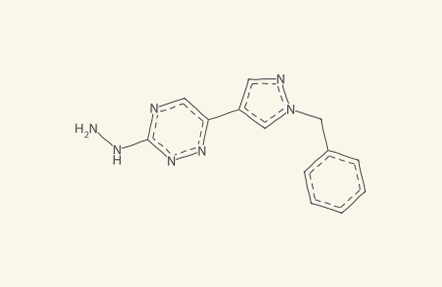 NNc1ncc(-c2cnn(Cc3ccccc3)c2)nn1